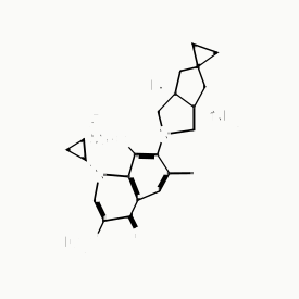 COc1c(N2C[C@H]3CC4(CC4)C[C@@]3(N)C2)c(F)cc2c(=O)c(C(=O)O)cn([C@@H]3C[C@@H]3F)c12